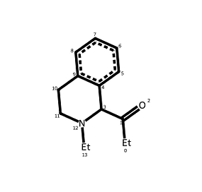 CCC(=O)C1c2ccccc2CCN1CC